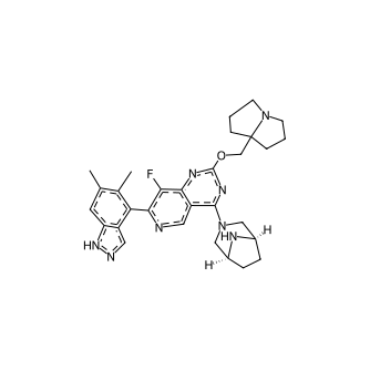 Cc1cc2[nH]ncc2c(-c2ncc3c(N4C[C@H]5CC[C@@H](C4)N5)nc(OCC45CCCN4CCC5)nc3c2F)c1C